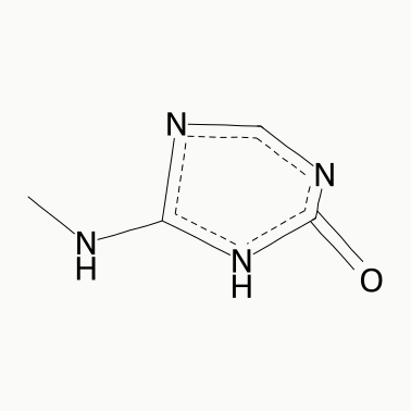 CNc1ncnc(=O)[nH]1